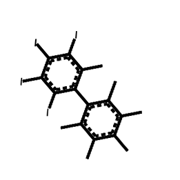 Cc1c(C)c(C)c(-c2c(C)c(I)c(I)c(I)c2I)c(C)c1C